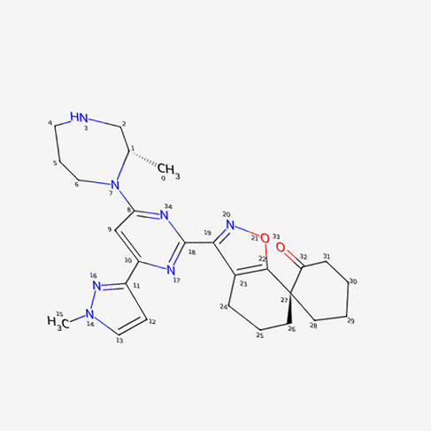 C[C@H]1CNCCCN1c1cc(-c2ccn(C)n2)nc(-c2noc3c2CCC[C@@]32CCCCC2=O)n1